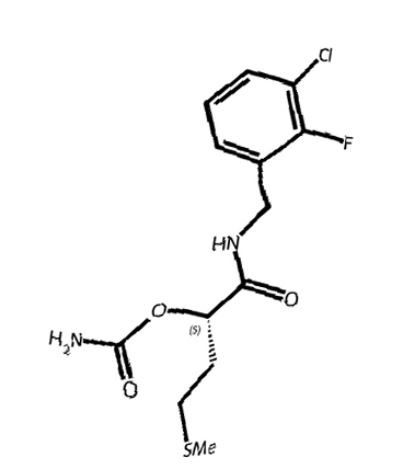 CSCC[C@H](OC(N)=O)C(=O)NCc1cccc(Cl)c1F